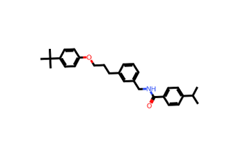 CC(C)c1ccc(C(=O)NCc2cccc(CCCOc3ccc(C(C)(C)C)cc3)c2)cc1